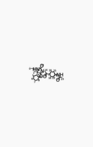 CCCC1(c2ccccc2)NC(=O)N(CC(=O)c2ccc(NC(C)=O)cc2)C1=O